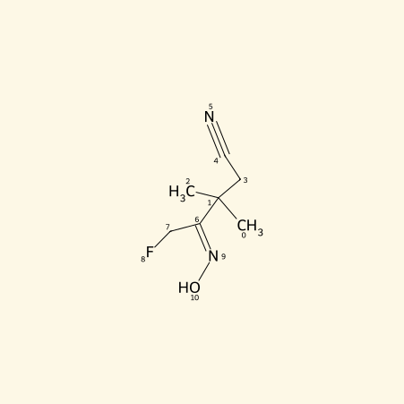 CC(C)(CC#N)C(CF)=NO